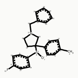 Cc1ccc(C2([S+]([O-])c3ccc(F)cc3)CCN(Cc3ccccc3)C2)cc1